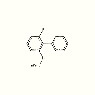 CCCCCOc1cccc(F)c1-c1ccccc1